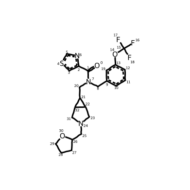 O=C(c1cscn1)N(Cc1cccc(OC(F)(F)F)c1)CC1C2CN(CC3CCCO3)CC21